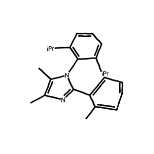 Cc1ccccc1-c1nc(C)c(C)n1-c1c(C(C)C)cccc1C(C)C